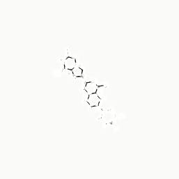 CCc1nc(C)cn2cc(-c3cc4ccc(N5CCN(C)[C@@H](C)C5)cc4c(=O)o3)nc12